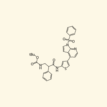 CC(C)(C)OC(=O)NCC(C(=O)Nc1cc(-c2ccnc3c2ccn3S(=O)(=O)c2ccccc2)cs1)c1ccccc1